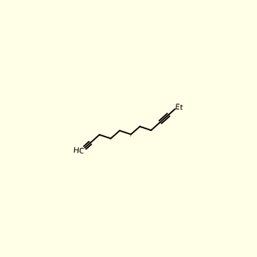 C#CCCC[CH]CCC#CCC